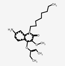 CC=C(CC)Oc1c(OC)c(=O)n(CCCCCCCC)c2cc(N)ccc12